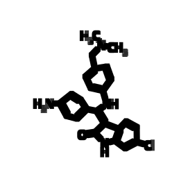 CN(C)Cc1ccc(NC(=C2C(=O)Nc3cc(Cl)ccc32)c2ccc(N)cc2)cc1